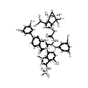 Cn1nc(NS(C)(=O)=O)c2c(Cl)ccc(-n3c([C@H](Cc4cc(F)cc(F)c4)NC(=O)Cn4nc(C(F)F)c5c4C(F)(F)[C@@H]4C[C@H]54)nc4cc(-c5cc(F)cc(F)c5)ccc4c3=O)c21